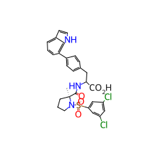 C[C@@]1(C(=O)NC(Cc2ccc(-c3cccc4cc[nH]c34)cc2)C(=O)O)CCCN1S(=O)(=O)c1cc(Cl)cc(Cl)c1